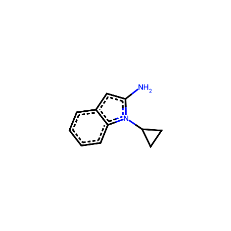 Nc1cc2ccccc2n1C1CC1